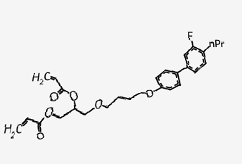 C=CC(=O)OCC(COCCCCOc1ccc(-c2ccc(CCC)c(F)c2)cc1)OC(=O)C=C